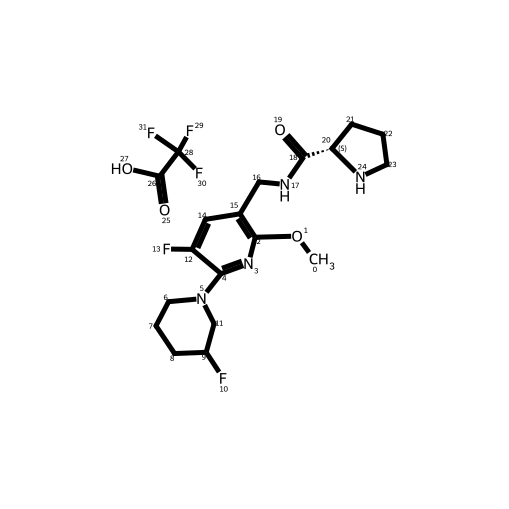 COc1nc(N2CCCC(F)C2)c(F)cc1CNC(=O)[C@@H]1CCCN1.O=C(O)C(F)(F)F